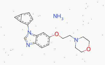 N.c1cc2ncn(-c3ccc4cc3-4)c2cc1OCCN1CCOCC1